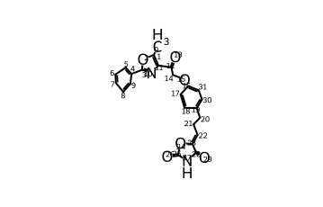 Cc1oc(-c2ccccc2)nc1C(=O)COc1ccc(CC/C=C2\OC(=O)NC2=O)cc1